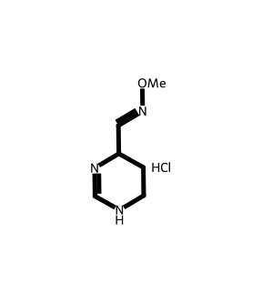 CON=CC1CCNC=N1.Cl